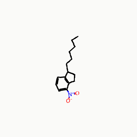 CCCCCCC1CCc2c1cccc2[N+](=O)[O-]